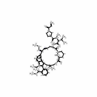 C=CC(=O)N1CC[C@H](C(=O)N(C)[C@H](C(=O)N[C@H]2C/C=C/C(=N\OC)c3ccc4c(c3C)c(c(-c3cccnc3[C@H](C)OC)n4CC)CC(C)(C)COC(=O)[C@@H]3CCCN(N3)C2=O)C(C)C)C1